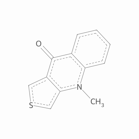 Cn1c2ccccc2c(=O)c2cscc21